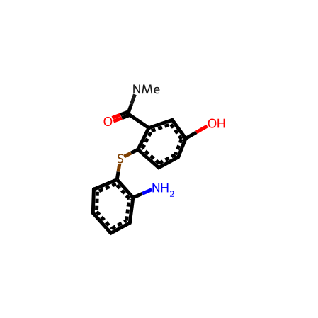 CNC(=O)c1cc(O)ccc1Sc1ccccc1N